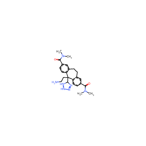 CN(C)C(=O)c1ccc2c(c1)CCc1cc(C(=O)N(C)C)ccc1C2(CCN)C1N=NNN1